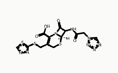 O=C(Cn1cnnn1)NC1C(=O)N2C(C(=O)O)=C(CSc3nncs3)CS[C@H]12